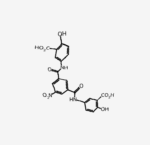 O=C(Nc1ccc(O)c(C(=O)O)c1)c1cc(C(=O)Nc2ccc(O)c(C(=O)O)c2)cc([N+](=O)[O-])c1